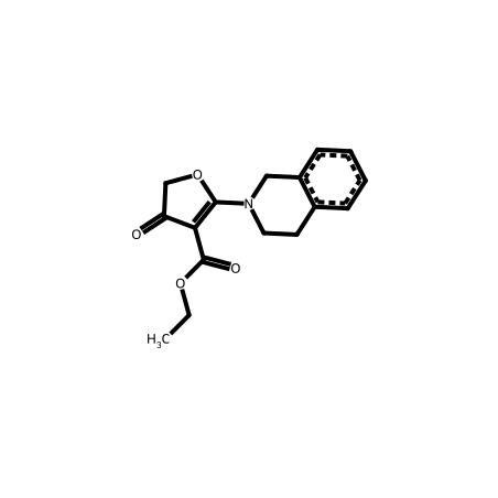 CCOC(=O)C1=C(N2CCc3ccccc3C2)OCC1=O